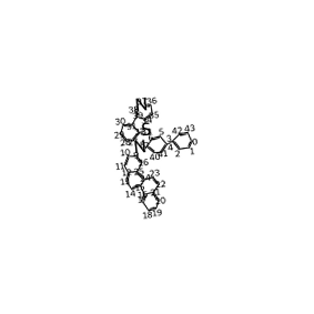 c1ccc(-c2ccc(N(c3ccc4ccc5c6ccccc6ccc5c4c3)c3cccc4c3sc3ccncc34)cc2)cc1